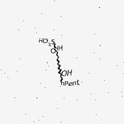 CCCCCC=CCC(O)C=CC=CCC=CCCCC(=O)NCCS(=O)(=O)O